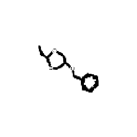 CCC1OCC(OCc2ccccc2)CO1